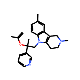 C=C(C)OC(C)(Cn1c2c(c3cc(C)ccc31)CN(C)CC2)c1cccnc1